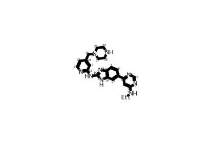 CCNc1cc(-c2ccc3nc(Nc4cc(CN5CCNCC5)ccn4)[nH]c3c2)ncn1